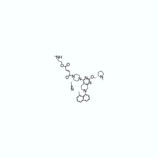 CNCCOC(=O)/C=C/C(=O)N1CCN(c2nc(OC[C@@H]3CCCN3C)nc3c2CCN(c2cccc4cccc(C)c24)C3)C[C@@H]1CC#N